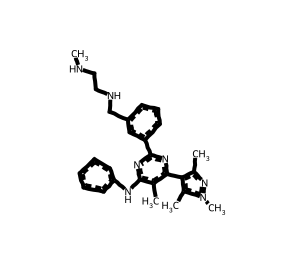 CNCCNCc1cccc(-c2nc(Nc3ccccc3)c(C)c(-c3c(C)nn(C)c3C)n2)c1